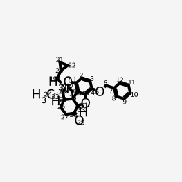 Cc1ccc(OCc2ccccc2)c2c1[C@@]13CCN(CC4CC4)[C@@H](C)[C@H]1CCC(=O)[C@H]3O2